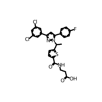 CC(c1ccc(C(=O)NCCC(=O)O)s1)n1nc(-c2cc(Cl)cc(Cl)c2)cc1-c1ccc(F)cc1